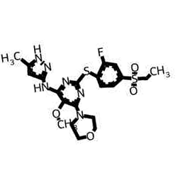 CCS(=O)(=O)c1ccc(Sc2nc(Nc3cc(C)[nH]n3)c(OC)c(N3CCOCC3)n2)c(F)c1